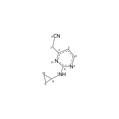 N#CCc1ccnc(NC2CC2)n1